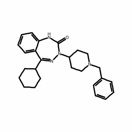 O=C1Nc2ccccc2C(C2CCCCC2)=NN1C1CCN(Cc2ccccc2)CC1